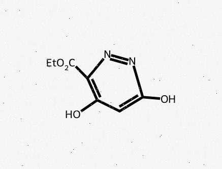 CCOC(=O)c1nnc(O)cc1O